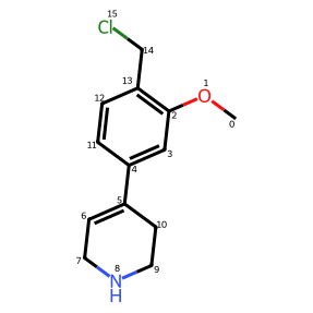 COc1cc(C2=CCNCC2)ccc1CCl